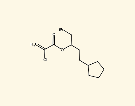 C=C(Cl)C(=O)OC(CCC1CCCC1)CC(C)C